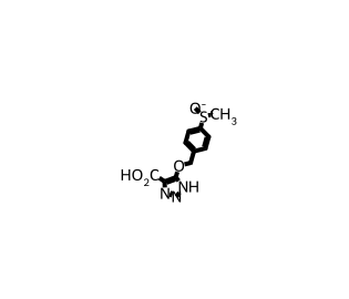 C[S+]([O-])c1ccc(COc2[nH]nnc2C(=O)O)cc1